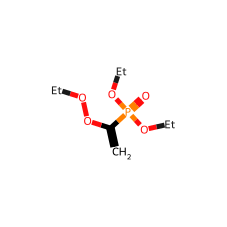 C=C(OOCC)P(=O)(OCC)OCC